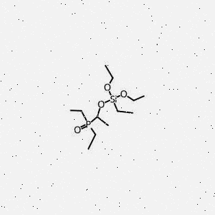 CCO[Si](CC)(OCC)OC(C)P(=O)(CC)CC